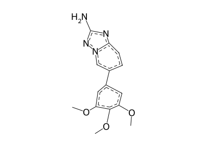 COc1cc(-c2ccc3nc(N)nn3c2)cc(OC)c1OC